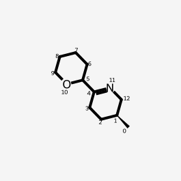 C[C@H]1CCC(C2CCCCO2)=NC1